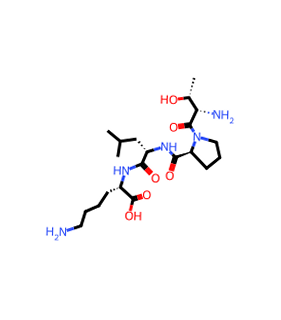 CC(C)C[C@H](NC(=O)[C@@H]1CCCN1C(=O)[C@@H](N)[C@@H](C)O)C(=O)N[C@@H](CCCCN)C(=O)O